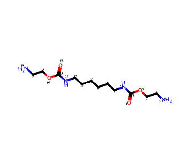 NCCOC(=O)NCCCCCCNC(=O)OCCN